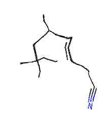 CC(C=CCC#N)CC(C)(C)C